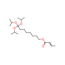 CC=CC(=O)OCCCCCCC[Si](OC(C)C)(OC(C)C)OC(C)C